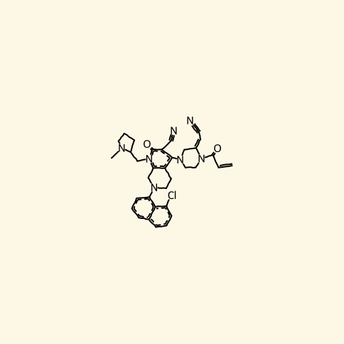 C=CC(=O)N1CCN(c2c3c(n(CC4CCCN4C)c(=O)c2C#N)CN(c2cccc4cccc(Cl)c24)CC3)CC1=CC#N